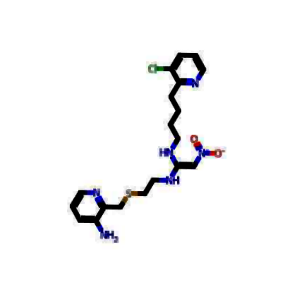 Nc1cccnc1CSCCNC(=C[N+](=O)[O-])NCCCCc1ncccc1Cl